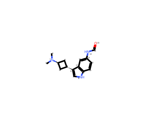 CN(C)[C@H]1C[C@H](c2c[nH]c3ccc(NC=O)cc32)C1